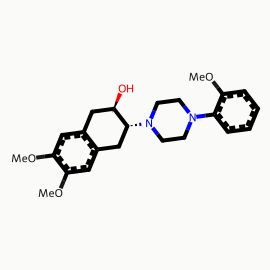 COc1cc2c(cc1OC)C[C@@H](N1CCN(c3ccccc3OC)CC1)[C@H](O)C2